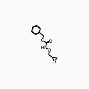 O=C(NOCC1CO1)OCc1ccccc1